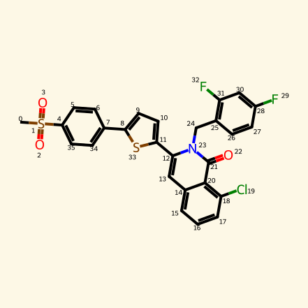 CS(=O)(=O)c1ccc(-c2ccc(-c3cc4cccc(Cl)c4c(=O)n3Cc3ccc(F)cc3F)s2)cc1